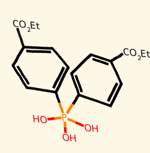 CCOC(=O)c1ccc(P(O)(O)(O)c2ccc(C(=O)OCC)cc2)cc1